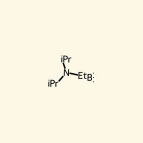 CCN(C(C)C)C(C)C.[B]